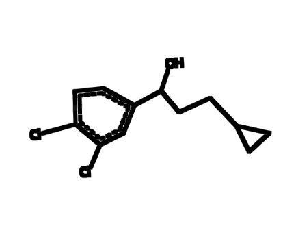 OC(CCC1CC1)c1ccc(Cl)c(Cl)c1